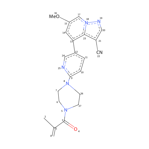 C=C(C)C(=O)N1CCN(c2ccc(-c3cc(OC)cn4ncc(C#N)c34)cn2)CC1